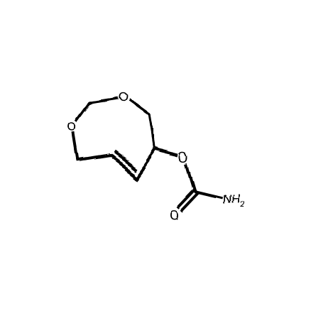 NC(=O)OC1/C=C/COCOC1